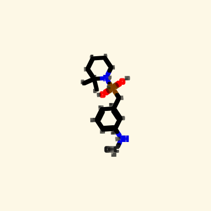 CC1(C)CCCCN1S(=O)(=O)Cc1cccc(NC=O)c1